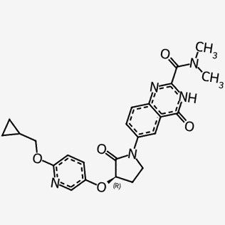 CN(C)C(=O)c1nc2ccc(N3CC[C@@H](Oc4ccc(OCC5CC5)nc4)C3=O)cc2c(=O)[nH]1